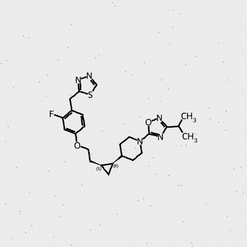 CC(C)c1noc(N2CCC([C@H]3C[C@H]3CCOc3ccc(Cc4nncs4)c(F)c3)CC2)n1